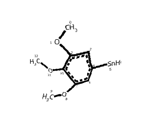 COc1c[c]([SnH])cc(OC)c1OC